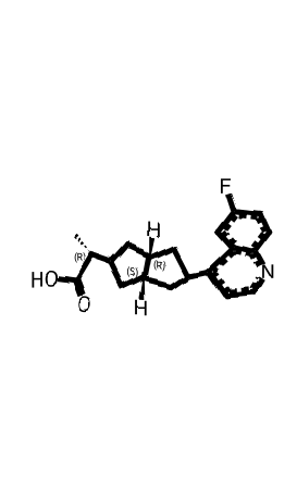 C[C@@H](C(=O)O)C1C[C@H]2CC(c3ccnc4ccc(F)cc34)C[C@H]2C1